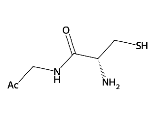 [CH2]C(=O)CNC(=O)[C@@H](N)CS